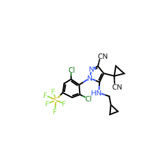 N#Cc1nn(-c2c(Cl)cc(S(F)(F)(F)(F)F)cc2Cl)c(NCC2CC2)c1C1(C#N)CC1